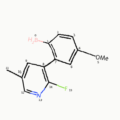 Bc1ccc(OC)cc1-c1cc(C)cnc1F